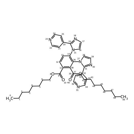 CCCCCCCCOC(=O)c1ccc(-n2ccnc2-c2ccncc2)c(-n2ccnc2-c2ccncc2)c1C(=O)OCCCCCCCC